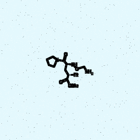 CC[C@@H](C[C@H](BOCN)C(=O)N1CCCC1)C(=O)OC